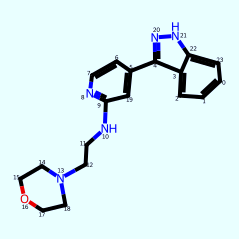 c1ccc2c(-c3ccnc(NCCN4CCOCC4)c3)n[nH]c2c1